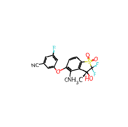 C[C@@]1(O)c2c(ccc(Oc3cc(F)cc(C#N)c3)c2C#N)S(=O)(=O)C1(F)F